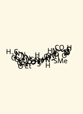 CCN1CC(=O)OC2OC(=O)CN(C)CCN(CCN(CC(=O)O)CC1Cc1ccc(NC(=S)N3CC(C(=O)N[C@@H](CCSC)C(=O)NCC(=O)N[C@@H](CCCCN4C(=O)C=CC4=O)C(=O)O)C3)cc1)CC(=O)O2